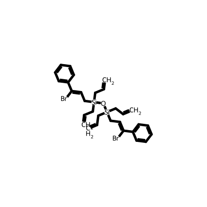 C=CC[Si](CC=C)(CC=C(Br)c1ccccc1)O[Si](CC=C)(CC=C)CC=C(Br)c1ccccc1